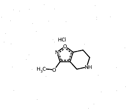 COc1noc2c1CNCC2.Cl